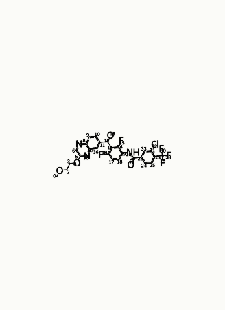 COCCOc1cnc2ccc(C(=O)c3c(F)ccc(NC(=O)c4ccc(C(F)(F)F)c(Cl)c4)c3F)cc2n1